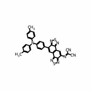 Cc1ccc(N(c2ccc(C)cc2)c2ccc(-c3cc4c(cc(N=C(C#N)C#N)c5nsnc54)c4nsnc34)cc2)cc1